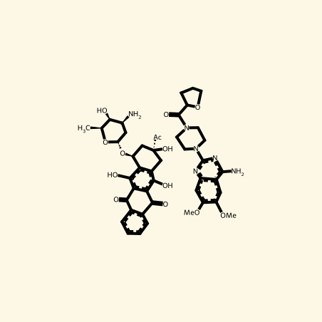 CC(=O)[C@]1(O)Cc2c(O)c3c(c(O)c2[C@@H](O[C@H]2C[C@H](N)[C@H](O)[C@H](C)O2)C1)C(=O)c1ccccc1C3=O.COc1cc2nc(N3CCN(C(=O)C4CCCO4)CC3)nc(N)c2cc1OC